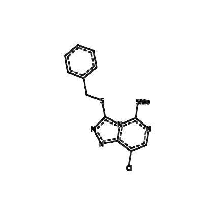 CSc1ncc(Cl)c2nnc(SCc3ccccc3)n12